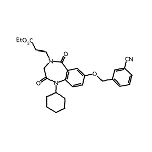 CCOC(=O)CCN1CC(=O)N(C2CCCCC2)c2ccc(OCc3cccc(C#N)c3)cc2C1=O